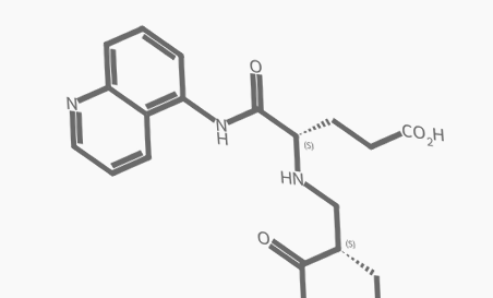 CC(C)C[C@@H](CN[C@@H](CCC(=O)O)C(=O)Nc1cccc2ncccc12)C(N)=O